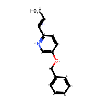 O=C(O)/C=C/c1ccc(OCc2ccccc2)cn1